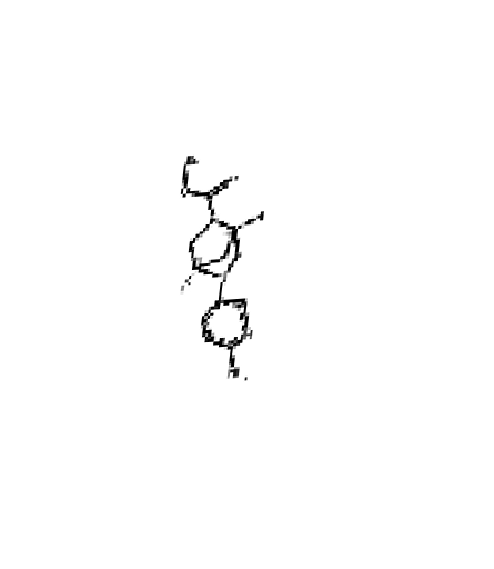 CC(C)(C)OC(=O)N1C[C@H]2C[C@H]1CN2c1ccc(N)nc1